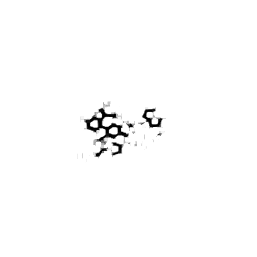 C=CC(=O)N1CC[C@@H](N(C)c2nc(OC[C@@]34CCCN3C[C@H](OC)C4)nc3c(F)c(-c4ccc(F)c5sc(N)c(C#N)c45)c(C(F)(F)F)cc23)[C@H]1C